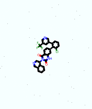 O=c1[nH]c2cc(-c3c(Cl)cccc3-c3cncc(C(F)(F)F)c3)ccc2c(=O)n1-c1cncc2ccccc12